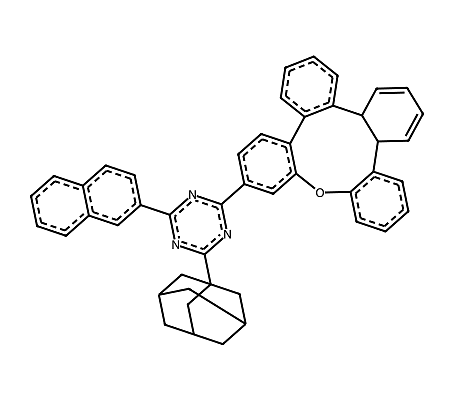 C1=CC2c3ccccc3Oc3cc(-c4nc(-c5ccc6ccccc6c5)nc(C56CC7CC(CC(C7)C5)C6)n4)ccc3-c3ccccc3C2C=C1